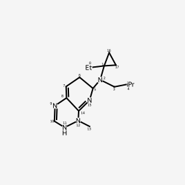 CCC1(N(CC(C)C)C2CC=C3N=CNN(C)C3=N2)CC1